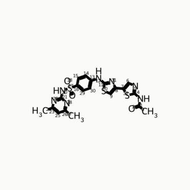 CC(=O)Nc1ncc(-c2csc(Nc3ccc(S(=O)(=O)Nc4nc(C)cc(C)n4)cc3)n2)s1